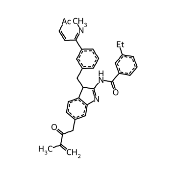 C=C(C)C(=O)Cc1ccc2c(c1)N=C(NC(=O)c1cccc(CC)c1)C2Cc1cccc(C(/C=C\C(C)=O)=N/C)c1